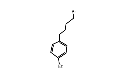 CCc1ccc(CCCCBr)cc1